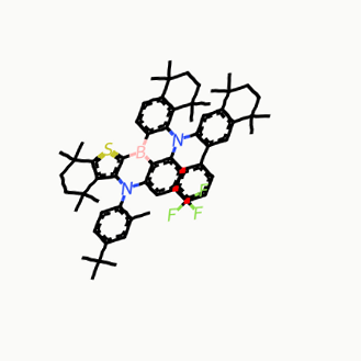 Cc1cc(C(C)(C)C)ccc1N1c2cc(C(F)(F)F)cc3c2B(c2ccc4c(c2N3c2cc3c(cc2-c2ccccc2)C(C)(C)CCC3(C)C)C(C)(C)CCC4(C)C)c2sc3c(c21)C(C)(C)CCC3(C)C